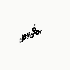 O=S(=O)(Nc1ccc(C(F)(F)F)cc1)N1CCCC(C2c3ccc(F)cc3-c3cc(F)ccc32)C1